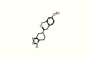 CCOc1ccc(CC(=O)N2CCc3[nH]nnc3C2)c(F)c1